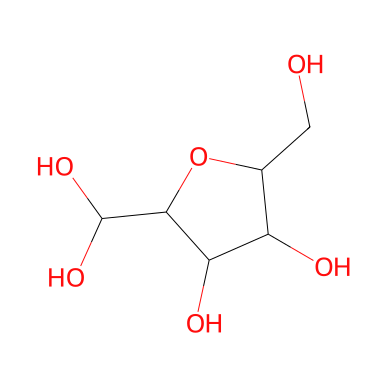 OCC1OC(C(O)O)C(O)C1O